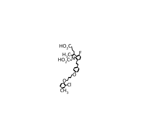 Cc1ccc(OCC=CCOc2ccc(C=Cc3ccc(F)c4c(CCCC(=O)O)c(C)n(CC(=O)O)c34)cc2)c(Cl)c1